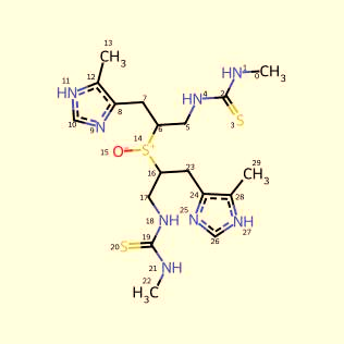 CNC(=S)NCC(Cc1nc[nH]c1C)[S+]([O-])C(CNC(=S)NC)Cc1nc[nH]c1C